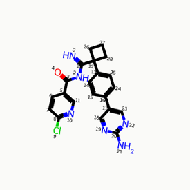 N=C(NC(=O)c1ccc(Cl)nc1)C1(c2ccc(-c3cnc(N)nc3)cc2)CCC1